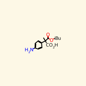 CCC(C)OC(=O)C(C)(C(=O)O)c1ccc(N)cc1